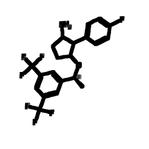 C[C@H](OC1CCC(N)C1c1ccc(F)cc1)c1cc(C(F)(F)F)cc(C(F)(F)F)c1